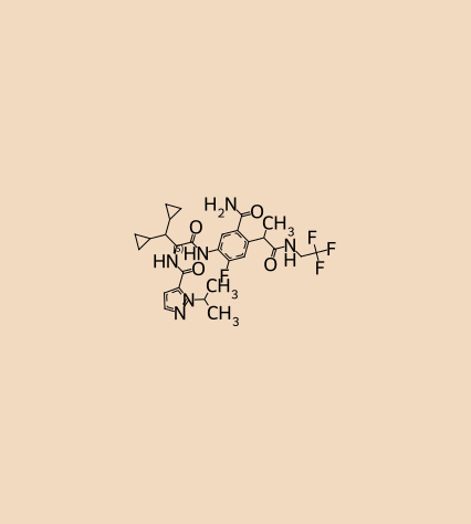 CC(C(=O)NCC(F)(F)F)c1cc(F)c(NC(=O)[C@@H](NC(=O)c2ccnn2C(C)C)C(C2CC2)C2CC2)cc1C(N)=O